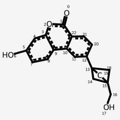 O=c1oc2cc(O)ccc2c2cc(C34CC(CO)(C3)C4)ccc12